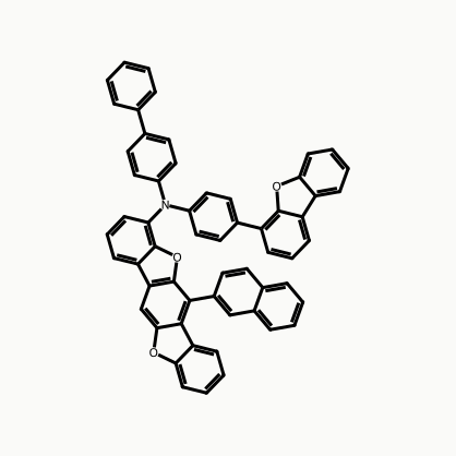 c1ccc(-c2ccc(N(c3ccc(-c4cccc5c4oc4ccccc45)cc3)c3cccc4c3oc3c(-c5ccc6ccccc6c5)c5c(cc34)oc3ccccc35)cc2)cc1